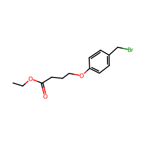 CCOC(=O)CCCOc1ccc(CBr)cc1